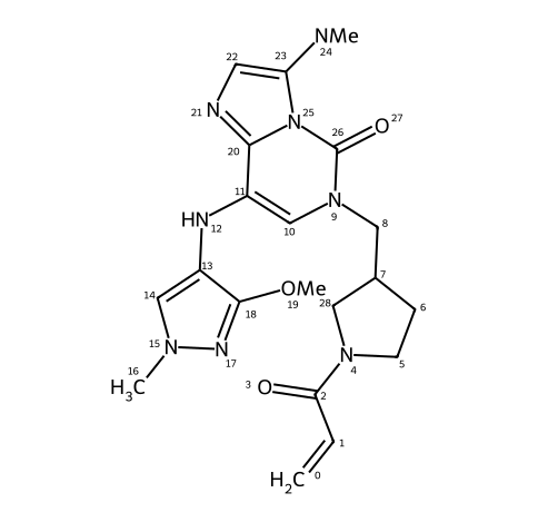 C=CC(=O)N1CCC(Cn2cc(Nc3cn(C)nc3OC)c3ncc(NC)n3c2=O)C1